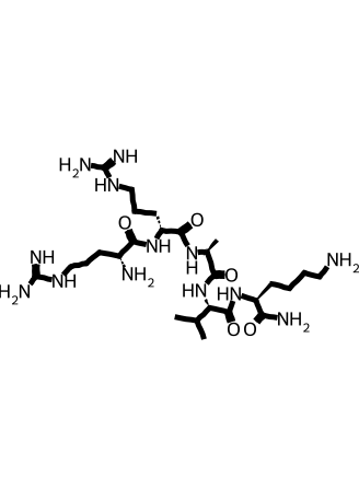 CC(C)[C@H](NC(=O)[C@H](C)NC(=O)[C@@H](CCCNC(=N)N)NC(=O)[C@H](N)CCCNC(=N)N)C(=O)N[C@@H](CCCCN)C(N)=O